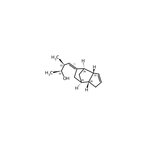 C[C@H](O)[C@@H](C)/C=C1\C[C@H]2C[C@@H]1[C@@H]1C=CC[C@H]21